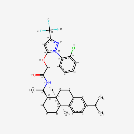 CC(C)c1ccc2c(c1)CC[C@@H]1[C@H](C(C)NC(=O)COc3cc(C(F)(F)F)nn3-c3ccccc3Cl)CCC[C@]21C